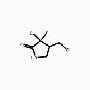 O=C1NCC(CCl)C1(Cl)Cl